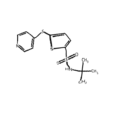 CC(C)(C)NS(=O)(=O)c1ccc(Sc2ccncc2)s1